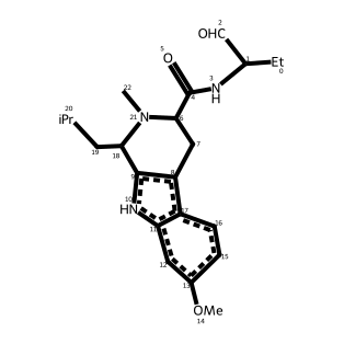 CCC(C=O)NC(=O)C1Cc2c([nH]c3cc(OC)ccc23)C(CC(C)C)N1C